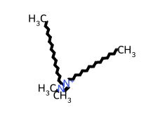 CCCCCCCCCCCCCCCCCc1n(C(C)C)cc[n+]1CCCCCCCCCCCCCCCC